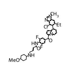 CCc1cc2c(ncn2C)c(Cl)c1-c1cccn2c(C(=O)c3cc(F)c(NC(=O)/C=C/CNC4CCC(OC)CC4)c(F)c3)ccc12